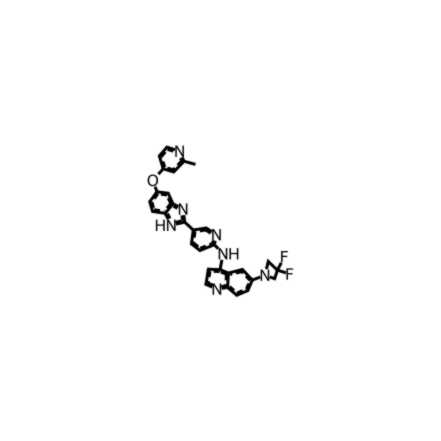 Cc1cc(Oc2ccc3[nH]c(-c4ccc(Nc5ccnc6ccc(N7CC(F)(F)C7)cc56)nc4)nc3c2)ccn1